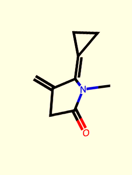 C=C1CC(=O)N(C)C1=C1CC1